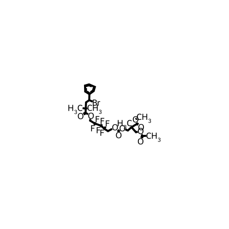 COC(=O)C(C)(COC(C)=O)COC(=O)OCC(F)(F)C(F)(F)C(F)(F)COC(=O)C(C)(C)CC(Br)c1ccccc1